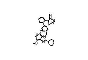 COc1nnc(O)c2c1nc(C1CCCCC1)n2Cc1ccc(-c2ccccc2-c2nnn[nH]2)cc1